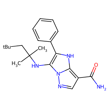 CC(C)(C)CC(C)(C)Nc1c(-c2ccccc2)[nH]c2c(C(N)=O)cnn12